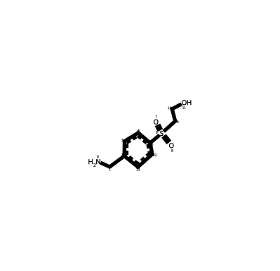 NCc1ccc(S(=O)(=O)CCO)cc1